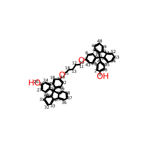 Oc1ccc(C2(c3ccc(OCCCCCOc4ccc(C5(c6ccc(O)cc6)c6ccccc6-c6ccccc65)cc4)cc3)c3ccccc3-c3ccccc32)cc1